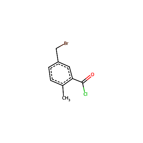 Cc1ccc(CBr)cc1C(=O)Cl